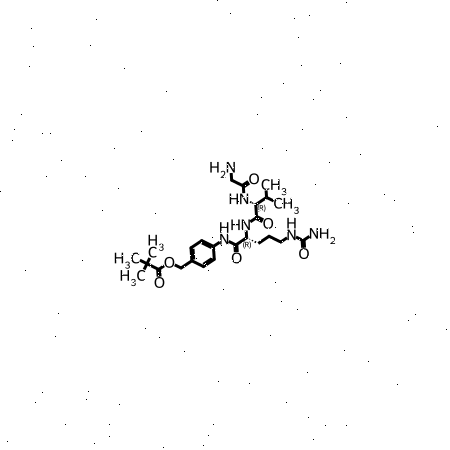 CC(C)[C@@H](NC(=O)CN)C(=O)N[C@H](CCCNC(N)=O)C(=O)Nc1ccc(COC(=O)C(C)(C)C)cc1